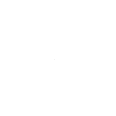 COc1ccc(N(C(=O)CN2CCc3cccc(O)c3C2)c2ccc(OC)cc2)cc1